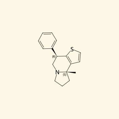 C[C@@]12CCCN1C[C@@H](c1ccccc1)c1sccc12